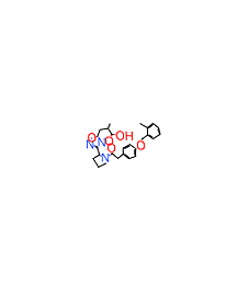 Cc1ccccc1COc1ccc(CC(=O)N2CCCC2c2noc(CC(C)C(=O)O)n2)cc1